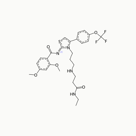 CCNC(=O)CCNCCCn1c(-c2ccc(OC(F)(F)F)cc2)cs/c1=N\C(=O)c1ccc(OC)cc1OC